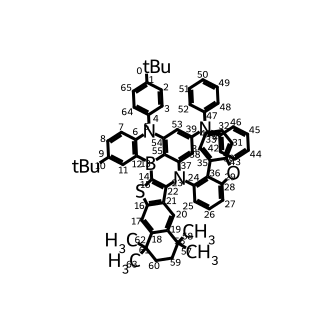 CC(C)(C)c1ccc(N2c3ccc(C(C)(C)C)cc3B3c4sc5cc6c(cc5c4N(c4cccc5oc7ccccc7c45)c4cc(N(c5ccccc5)c5ccccc5)cc2c43)C(C)(C)CCC6(C)C)cc1